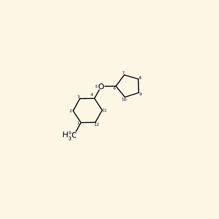 CC1CCC(OC2CCCC2)CC1